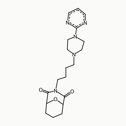 O=C1C2CCCC(O2)C(=O)N1CCCCN1CCN(c2ncccn2)CC1